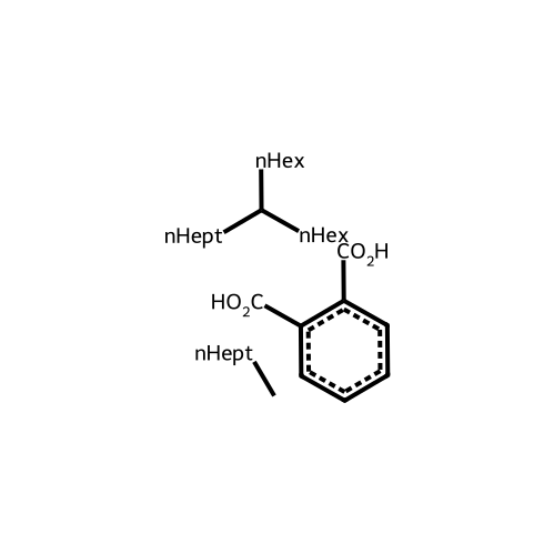 CCCCCCCC.CCCCCCCC(CCCCCC)CCCCCC.O=C(O)c1ccccc1C(=O)O